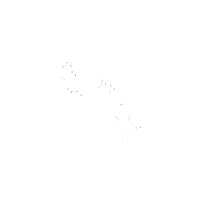 Cc1cc2n(n1)C(C)C(c1nnc(-c3ccc(C(=O)O)cc3)o1)N=N2